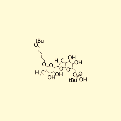 CC1C(OCCCCCOC(C)(C)C)OC(COC2OC(COP(=O)(O)C(C)(C)C)C(O)C(O)C2C)C(O)C1O